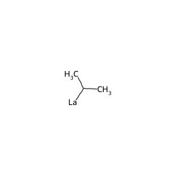 C[CH](C)[La]